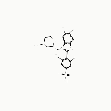 CC(=O)N1CCO[C@@H](Cn2c(-c3c(F)cc(S(N)(=O)=O)cc3F)nc3cc(Cl)c(F)cc32)C1